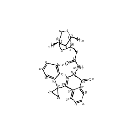 O=C(C[C@H]1C[C@@H]2CC[C@H]1C2)Nn1nc(C2(c3ccccc3)CC2)c2ccccc2c1=O